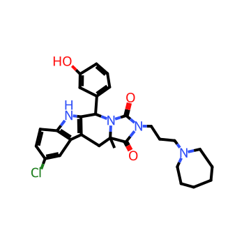 CC12Cc3c([nH]c4ccc(Cl)cc34)C(c3cccc(O)c3)N1C(=O)N(CCCN1CCCCCC1)C2=O